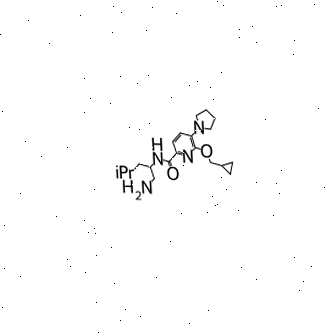 CC(C)CC(CN)NC(=O)c1ccc(N2CCCC2)c(OCC2CC2)n1